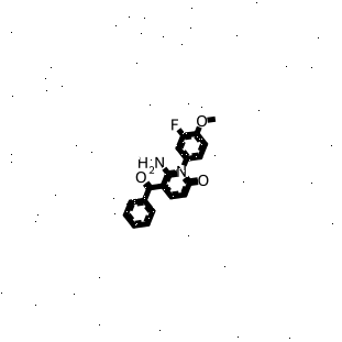 COc1ccc(-n2c(N)c(C(=O)c3ccccc3)ccc2=O)cc1F